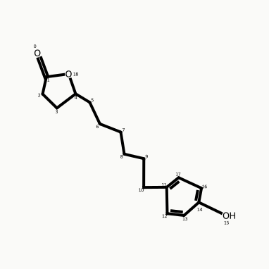 O=C1CCC(CCCCCCc2ccc(O)cc2)O1